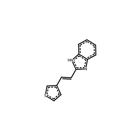 C(=C\c1nc2ccccc2[nH]1)/c1ccsc1